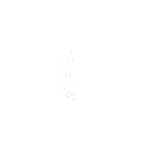 O=C(O)c1ccc2nc(CN3CCC(Oc4cccc(CSc5ccc(Cl)cc5F)n4)CC3)n(C[C@@H]3CCO3)c2c1